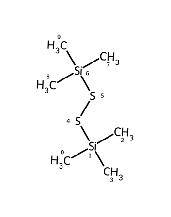 C[Si](C)(C)SS[Si](C)(C)C